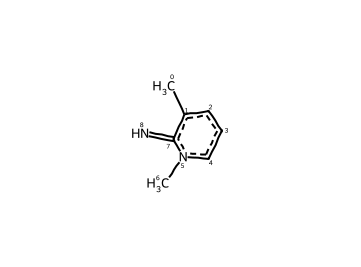 Cc1cccn(C)c1=N